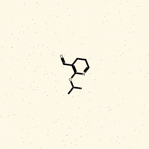 CC(C)OC1=C(C=O)CCC=N1